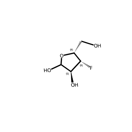 OC[C@H]1OC(O)[C@H](O)[C@H]1F